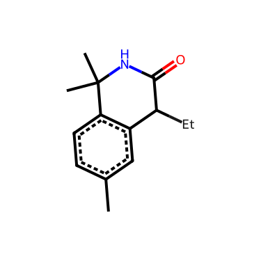 CCC1C(=O)NC(C)(C)c2ccc(C)cc21